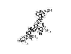 C=C1C=C(F)c2cc(Oc3cc(N4CCC5(CC4)CC(N4CCN(CCO)CC4c4ccccc4C(C)C)C5)ccc3C(=O)NS(=O)(=O)c3cnc(NC[C@H]4CC[C@](C)(O)CC4)c([NH+](C)[O-])c3)c(OCC)nc21